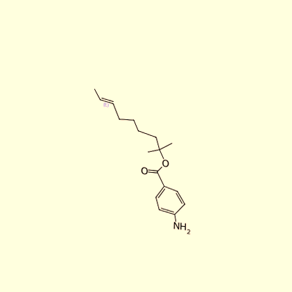 C/C=C/CCCCC(C)(C)OC(=O)c1ccc(N)cc1